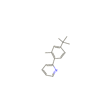 Cc1cc(C(C)(C)C)ccc1-c1ccccn1